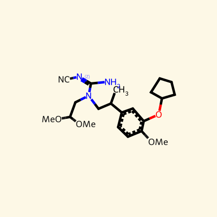 COc1ccc(C(C)CN(CC(OC)OC)/C(N)=N\C#N)cc1OC1CCCC1